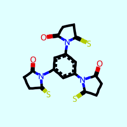 O=C1CCC(=S)N1c1cc(N2C(=O)CCC2=S)cc(N2C(=O)CCC2=S)c1